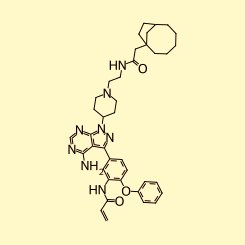 C=CC(=O)Nc1cc(-c2nn(C3CCN(CCNC(=O)CC45CCCCCC(CC4)C5)CC3)c3ncnc(N)c23)ccc1Oc1ccccc1